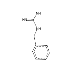 [NH]C(=N)NCc1ccccc1